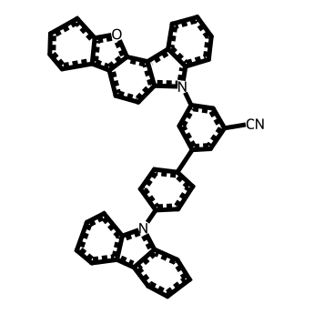 N#Cc1cc(-c2ccc(-n3c4ccccc4c4ccccc43)cc2)cc(-n2c3ccccc3c3c4oc5ccccc5c4ccc32)c1